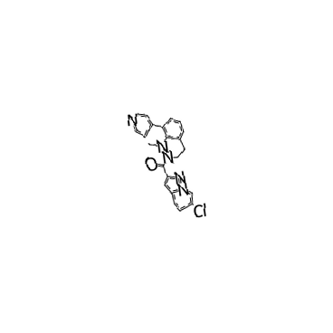 CN1c2c(cccc2-c2ccncc2)CCN1C(=O)c1cc2ccc(Cl)cn2n1